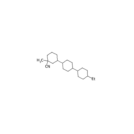 CCC1CCC(C2CCC(C3CCCC(C)(C#N)C3)CC2)CC1